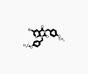 COc1ccc(Cn2c(=O)c3cc(Br)cnc3n(Cc3ccc(OC)cc3)c2=O)cc1